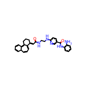 Nc1ccccc1NC(=O)c1ccc(NCCNC(=O)C=C2CCCC3=C4C=CC=CC4C=CC=C23)nc1